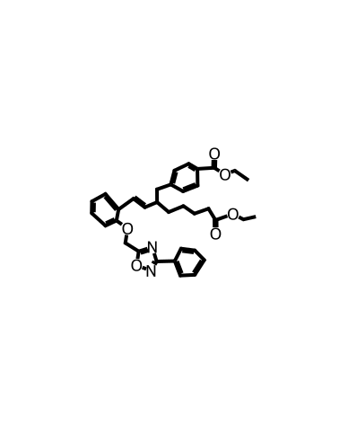 CCOC(=O)CCCCC(/C=C/c1ccccc1OCc1nc(-c2ccccc2)no1)Cc1ccc(C(=O)OCC)cc1